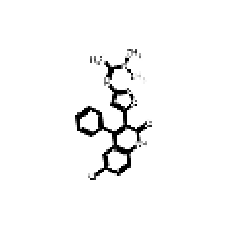 CC(=Nc1cc(-c2c(-c3ccccc3)c3cc(Cl)ccc3[nH]c2=O)on1)N(C)C